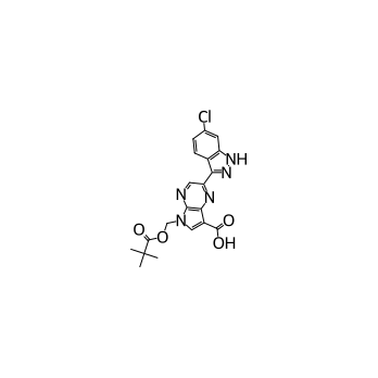 CC(C)(C)C(=O)OCn1cc(C(=O)O)c2nc(-c3n[nH]c4cc(Cl)ccc34)cnc21